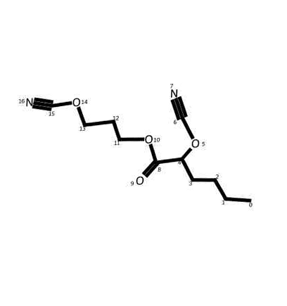 CCCCC(OC#N)C(=O)OCCCOC#N